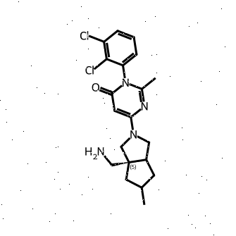 Cc1nc(N2CC3CC(C)C[C@]3(CN)C2)cc(=O)n1-c1cccc(Cl)c1Cl